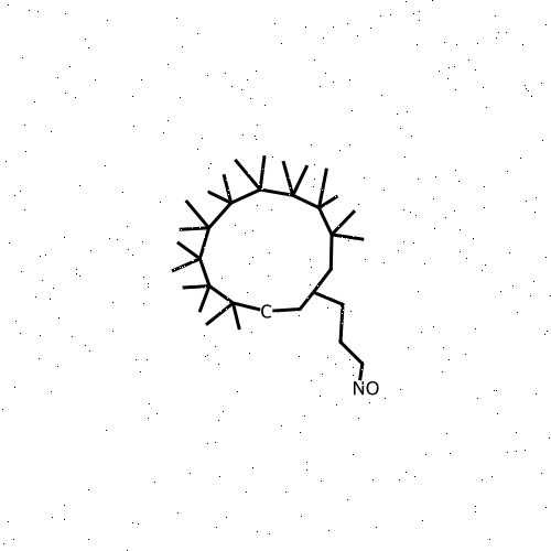 CC1(C)CCC(CCCN=O)CC(C)(C)C(C)(C)C(C)(C)C(C)(C)C(C)(C)C(C)(C)C(C)(C)C1(C)C